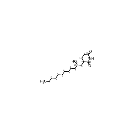 CCCCCCCCCCC(O)CC1CCC(=O)NC1=O